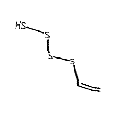 C=CSSSS